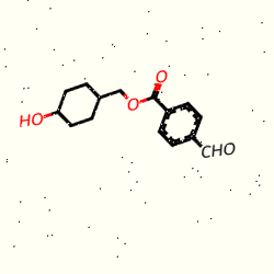 O=Cc1ccc(C(=O)OCC2CCC(O)CC2)cc1